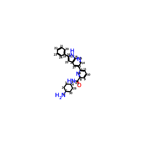 NC1CCC(NC(=O)c2cccc(-c3cnc4[nH]c(-c5ccccc5)cc4c3)n2)CC1